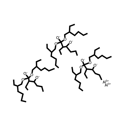 CCCCC(CC)COC([O-])(OCC(CC)CCCC)C(CC)C([O-])CCC.CCCCC(CC)COC([O-])(OCC(CC)CCCC)C(CC)C([O-])CCC.CCCCC(CC)COC([O-])(OCC(CC)CCCC)C(CC)C([O-])CCC.[Al+3].[Al+3]